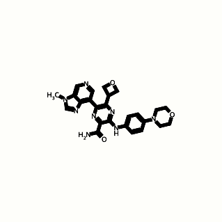 Cn1cnc2c(-c3nc(C(N)=O)c(Nc4ccc(N5CCOCC5)cc4)nc3C3COC3)cncc21